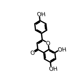 O=c1cc(-c2ccc(O)cc2)oc2c(O)cc(O)cc12